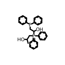 CC(O)C[PH](c1ccccc1)(c1ccccc1)C(O)CP(c1ccccc1)c1ccccc1